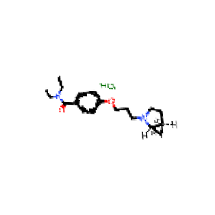 CCN(CC)C(=O)c1ccc(OCCCN2CC[C@H]3C[C@H]32)cc1.Cl